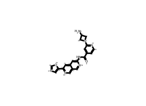 NC1CN(c2cc(C(=O)Nc3cc4cc(-c5cnco5)ncc4cn3)ccn2)C1